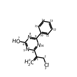 C=C(CCl)c1nc(O)nc(-c2ccccc2)n1